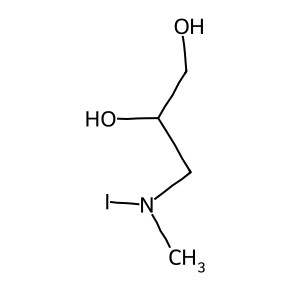 CN(I)CC(O)CO